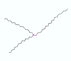 CCCCCCCCCCCCCCCCCCP(CCCCCCCCCCCCCC)CCCCCCCCCCCCCC